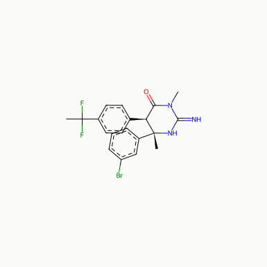 CN1C(=N)N[C@](C)(c2cccc(Br)c2)[C@@H](c2ccc(C(C)(F)F)cc2)C1=O